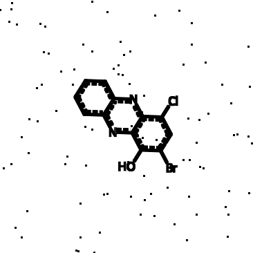 Oc1c(Br)cc(Cl)c2nc3ccccc3nc12